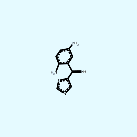 N=C(c1cncs1)c1cc(N)ccc1N